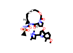 COc1ccc2c(O[C@@H]3C[C@H]4C(=O)N[C@]5(C(=O)NS(=O)(=O)C6CC6)C[C@H]5/C=C\CCCCOCC(=O)N4C3)cc(C3CC(C)=NN3C)nc2c1C